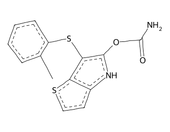 Cc1ccccc1Sc1c(OC(N)=O)[nH]c2ccsc12